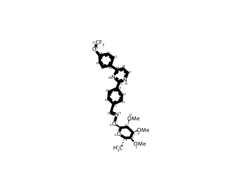 CO[C@@H]1[C@@H](OC)[C@H](C)O[C@@H](O/N=C/c2ccc(-c3nccc(-c4ccc(OC(F)(F)F)cc4)n3)cc2)[C@@H]1OC